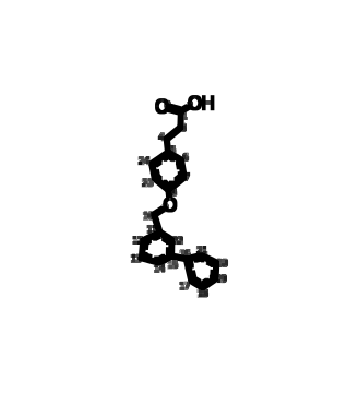 O=C(O)CCc1ccc(OCc2cccc(-c3ccccc3)c2)cc1